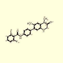 Cc1cc2c(cc1-c1ccc(NC(=O)c3c(F)cccc3F)cc1)OCC(=O)N2C